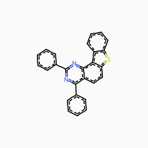 c1ccc(-c2nc(-c3ccccc3)c3ccc4sc5ccccc5c4c3n2)cc1